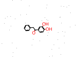 O=C(Cc1ccccc1)c1ccc(O)c(O)c1